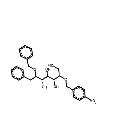 O=[N+]([O-])c1ccc(CO[C@H](CO)[C@@H](O)[C@H](O)[C@H](O)C(Cc2ccccc2)OCc2ccccc2)cc1